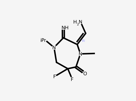 CC(C)N1CC(F)(F)C(=O)N(C)/C(=C/N)C1=N